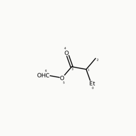 CCC(C)C(=O)OC=O